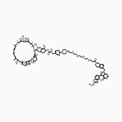 CO[C@H]1C[C@@H]2CC[C@@H](C)[C@@](O)(O2)C(=O)C(O)N2CCCC[C@H]2C(=O)O[C@H]([C@H](N)C[C@@H]2CC[C@@H](OC(=O)NCc3cnc(N4CCN(CCOCCOCCOCCOCCC(=O)N5CCc6cc(Cn7nc(-c8ccc9oc(N)nc9c8)c8c(N)ncnc87)ccc6C5)CC4)nc3)[C@H](OC)C2)C[C@@H](OC)[C@H](C)/C=C(\C)[C@@H](O)[C@@H](O)C(=O)[C@H](C)C[C@H](C)/C=C/C=C/C=C/1C